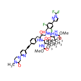 COC(=O)N[C@H](C(=O)N[C@@H](Cc1ccc(C#Cc2ccc(N3CCN(C)C(=O)C3)nc2)cc1)[C@@H](O)CN(Cc1c(F)cc(-c2ccn(C(F)F)n2)cc1F)NC(=O)[C@@H](NC(=O)OC)C(C)(C)C(F)(F)F)C(C)(C)C(F)(F)F